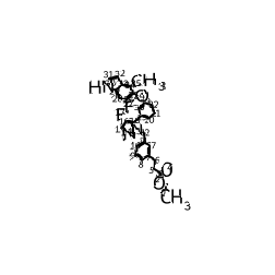 CCOC(=O)CCc1cccc(Cn2ncc(F)c2-c2cccc(Oc3c(F)cc4[nH]ccc4c3C)c2)c1